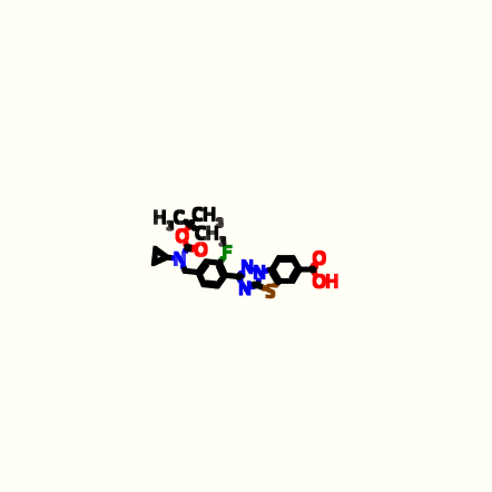 CC(C)(C)OC(=O)N(Cc1ccc(-c2nc3sc4cc(C(=O)O)ccc4n3n2)c(F)c1)C1CC1